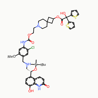 COc1cc(NC(=O)OCCN2CCC3(CC2)CC(OC(=O)C(O)(c2cccs2)c2cccs2)C3)c(Cl)cc1CNC[C@H](O[Si](C)(C)C(C)(C)C)c1ccc(O)c2[nH]c(=O)ccc12